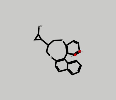 CCCC1CC1C1COc2ccc3ccccc3c2-c2c(ccc3ccccc23)OC1